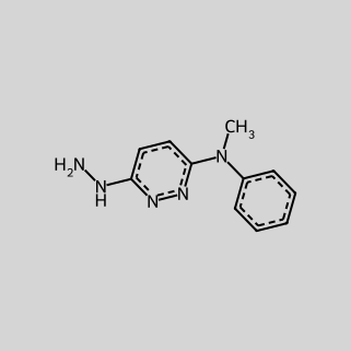 CN(c1ccccc1)c1ccc(NN)nn1